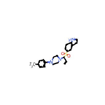 C=CC(N1CCN(c2ccc(C(F)(F)F)cc2)CC1)S(=O)(=O)c1ccc2[nH]ccc2c1